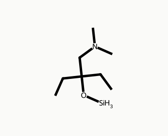 CCC(CC)(CN(C)C)O[SiH3]